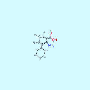 Cc1c(C)c(C(=O)O)c(N)c(C2CCCCC2)c1C